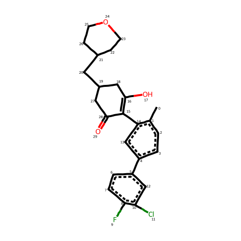 Cc1ccc(-c2ccc(F)c(Cl)c2)cc1C1=C(O)CC(CC2CCOCC2)CC1=O